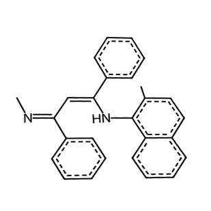 C/N=C(\C=C(/Nc1c(C)ccc2ccccc12)c1ccccc1)c1ccccc1